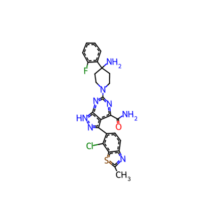 Cc1nc2ccc(-c3n[nH]c4nc(N5CCC(N)(c6ccccc6F)CC5)nc(C(N)=O)c34)c(Cl)c2s1